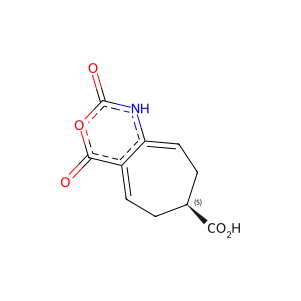 O=C(O)[C@@H]1CC=c2[nH]c(=O)oc(=O)c2=CC1